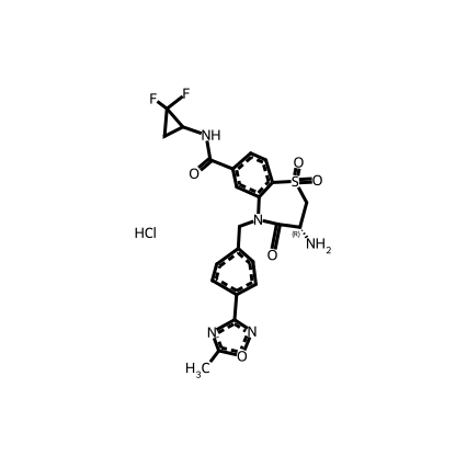 Cc1nc(-c2ccc(CN3C(=O)[C@@H](N)CS(=O)(=O)c4ccc(C(=O)NC5CC5(F)F)cc43)cc2)no1.Cl